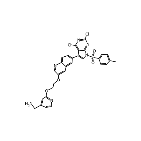 Cc1ccc(S(=O)(=O)n2cc(-c3ccc4ncc(OCCOc5cc(CN)ccn5)cc4c3)c3c(Cl)nc(Cl)nc32)cc1